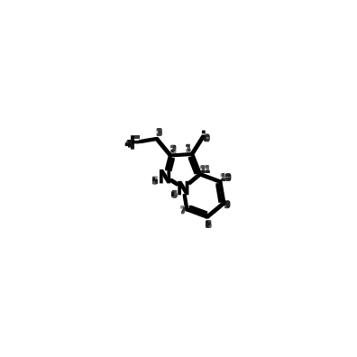 [CH2]c1c(CF)nn2ccccc12